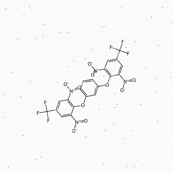 O=[N+]([O-])c1cc(C(F)(F)F)cc([N+](=O)[O-])c1Oc1cccc(Oc2c([N+](=O)[O-])cc(C(F)(F)F)cc2[N+](=O)[O-])c1